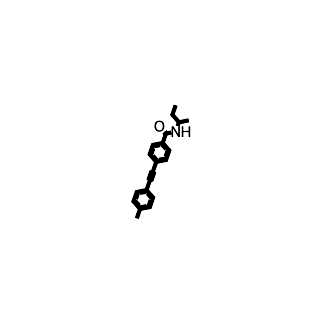 CCC(C)NC(=O)c1ccc(C#Cc2ccc(C)cc2)cc1